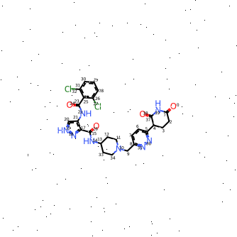 O=C1CCC(c2ccc(CN3CCC(NC(=O)c4n[nH]cc4NC(=O)c4c(Cl)cccc4Cl)CC3)nn2)C(=O)N1